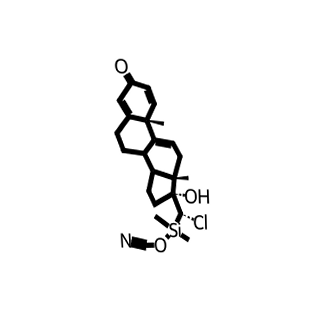 C[C@]12C=CC(=O)C=C1CCC1C2=CC[C@@]2(C)C1CC[C@]2(O)[C@H](Cl)[Si](C)(C)OC#N